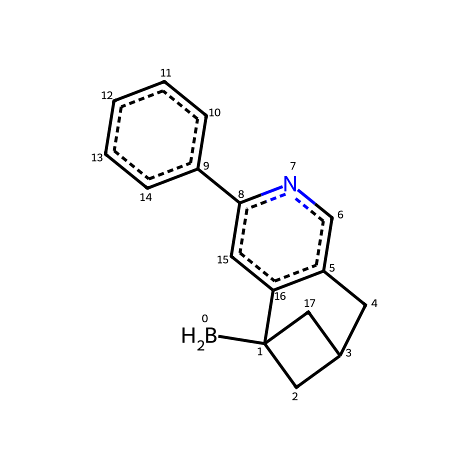 BC12CC(Cc3cnc(-c4ccccc4)cc31)C2